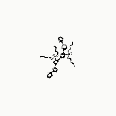 CCCCOP(=O)(OCCCC)c1cc(-c2ccc(-c3cccs3)s2)sc1-c1cc(P(=O)(OCCCC)OCCCC)c(-c2ccc(-c3cccs3)s2)s1